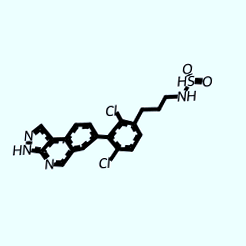 O=[SH](=O)NCCCc1ccc(Cl)c(-c2ccc3c(cnc4[nH]ncc43)c2)c1Cl